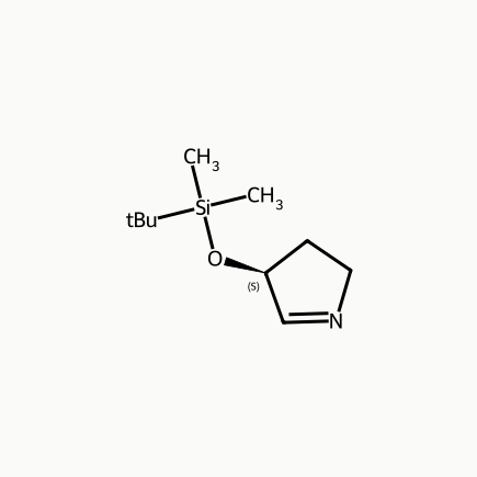 CC(C)(C)[Si](C)(C)O[C@@H]1C=NCC1